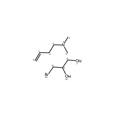 C=CCCN(C)C.OCC(O)CBr